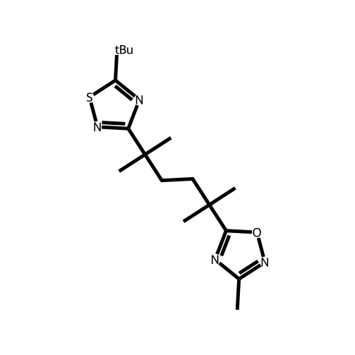 Cc1noc(C(C)(C)CCC(C)(C)c2nsc(C(C)(C)C)n2)n1